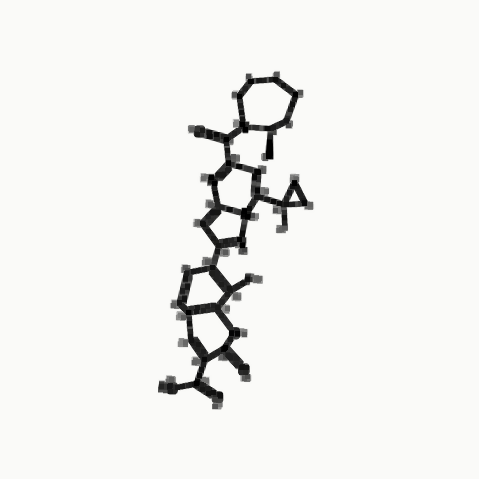 C[C@@H]1CCCCCN1C(=O)c1cc(C2(C)CC2)n2nc(-c3ccc4cc(C(=O)O)c(=O)oc4c3F)cc2n1